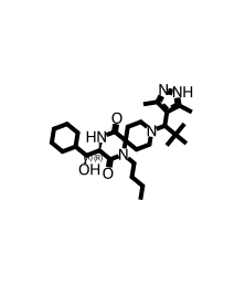 CCCCN1C(=O)[C@@H]([C@H](O)C2CCCCC2)NC(=O)C12CCN(C(c1c(C)n[nH]c1C)C(C)(C)C)CC2